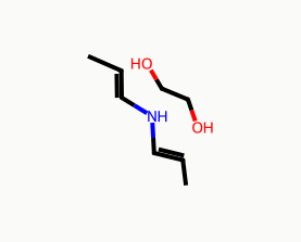 C/C=C/N/C=C/C.OCCO